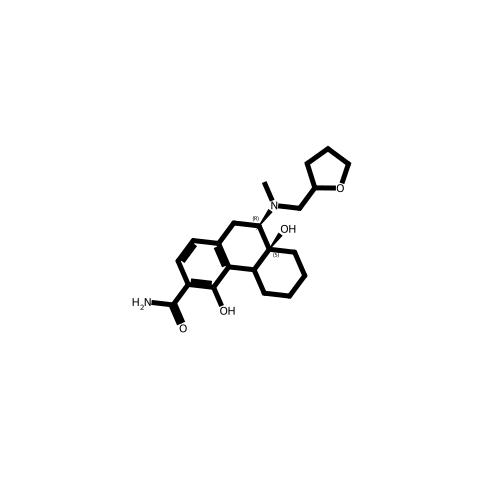 CN(CC1CCCO1)[C@@H]1Cc2ccc(C(N)=O)c(O)c2C2CCCC[C@]21O